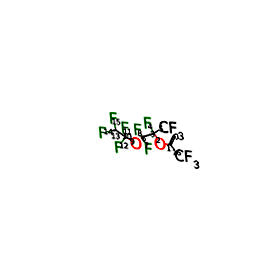 C=C(OC(F)(C(F)(F)F)C(F)(F)OC(F)(F)C(F)F)C(F)(F)F